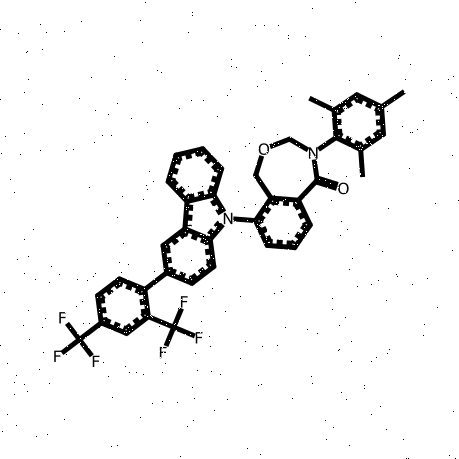 Cc1cc(C)c(N2COCc3c(cccc3-n3c4ccccc4c4cc(-c5ccc(C(F)(F)F)cc5C(F)(F)F)ccc43)C2=O)c(C)c1